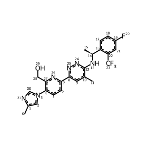 Cc1cn(-c2ccc(-c3cc(C)c(N[C@@H](C)c4ccc(F)cc4C(F)(F)F)nn3)nc2CO)cn1